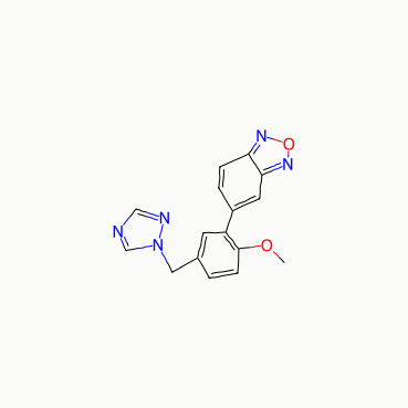 COc1ccc(Cn2cncn2)cc1-c1ccc2nonc2c1